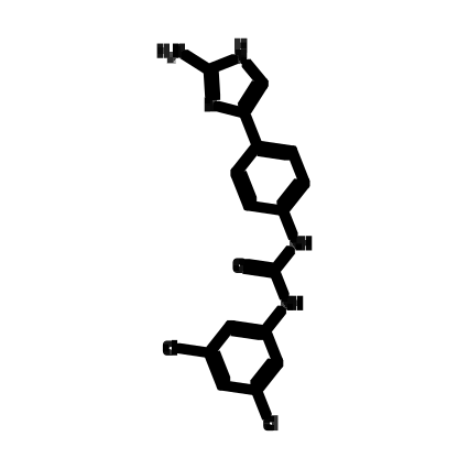 Nc1nc(-c2ccc(NC(=O)Nc3cc(Cl)cc(Cl)c3)cc2)c[nH]1